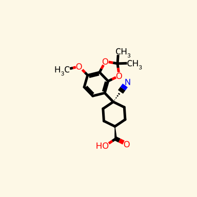 COc1ccc([C@]2(C#N)CC[C@H](C(=O)O)CC2)c2c1OC(C)(C)O2